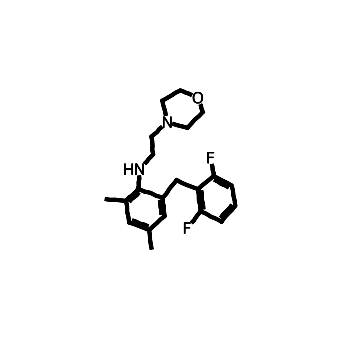 Cc1cc(C)c(NCCN2CCOCC2)c(Cc2c(F)cccc2F)c1